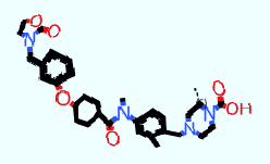 Cc1cc(N(C)C(=O)C2CCC(Oc3cccc(CN4CCOC4=O)c3)CC2)ccc1CN1CCN(C(=O)O)[C@@H](C)C1